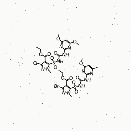 CCOC(=O)c1c(Br)nn(C)c1S(=O)(=O)NC(=O)Nc1nc(C)cc(OC)n1.CCOC(=O)c1c(Cl)nn(C)c1S(=O)(=O)NC(=O)Nc1nc(OC)cc(OC)n1